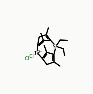 CC[Si]1(CC)C2=C(C)C[C](=C2C)[Ti+2][C]2=C(C)C1=C(C)C2.[Cl-].[Cl-]